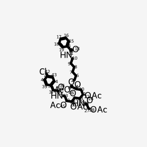 COC(=O)[C@@]1(OCCCCCCNC(=O)c2ccccc2)C[C@H](OC(C)=O)[C@@H](NC(=O)COC(C)=O)[C@H]([C@H](OC(C)=O)[C@@H](CNC(=O)Cc2ccc(Cl)cc2)OC(C)=O)O1